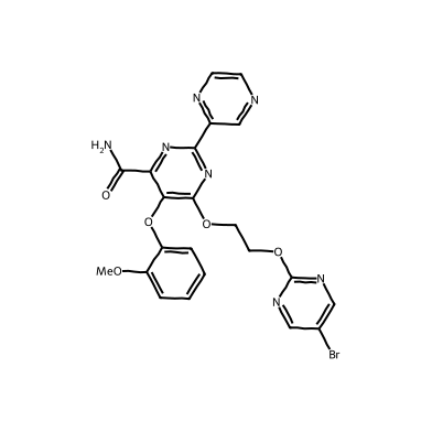 COc1ccccc1Oc1c(OCCOc2ncc(Br)cn2)nc(-c2cnccn2)nc1C(N)=O